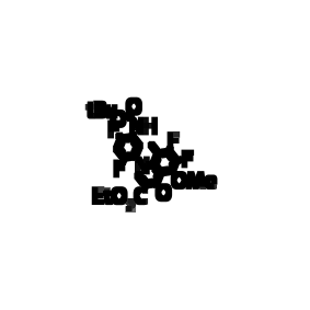 CCOC(=O)c1cn(-c2cc(NC(=O)OC(C)(C)C)c(F)cc2F)c2c(C)c(F)c(F)c(OC)c2c1=O